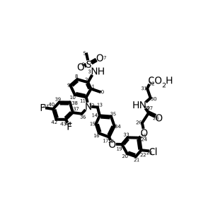 Cc1c(NS(C)(=O)=O)cccc1N(Cc1ccc(Oc2ccc(Cl)c(OCC(=O)NCCC(=O)O)c2)cc1)Cc1ccc(F)cc1F